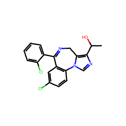 CC(O)c1ncn2c1CN=C(c1ccccc1Cl)c1cc(Cl)ccc1-2